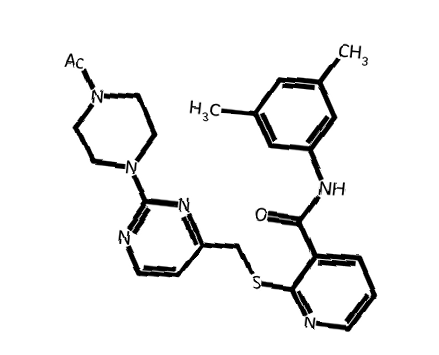 CC(=O)N1CCN(c2nccc(CSc3ncccc3C(=O)Nc3cc(C)cc(C)c3)n2)CC1